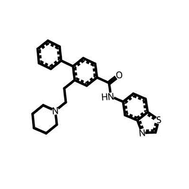 O=C(Nc1ccc2scnc2c1)c1ccc(-c2ccccc2)c(CCN2CCCCC2)c1